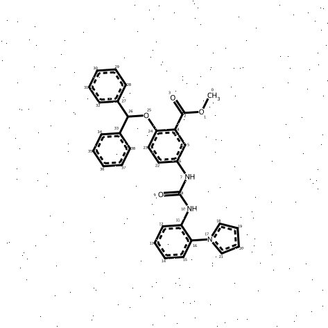 COC(=O)c1cc(NC(=O)Nc2ccccc2-n2cccc2)ccc1OC(c1ccccc1)c1ccccc1